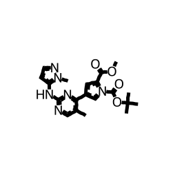 COC(=O)c1cc(-c2nc(Nc3ccnn3C)ncc2C)cn1C(=O)OC(C)(C)C